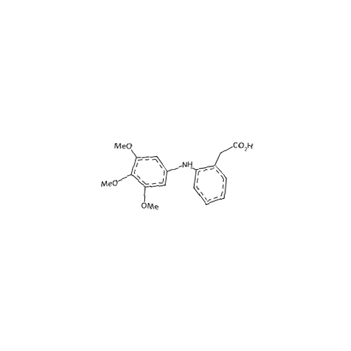 COc1cc(Nc2ccccc2CC(=O)O)cc(OC)c1OC